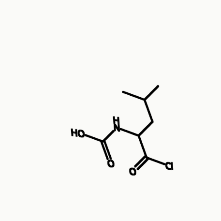 CC(C)CC(NC(=O)O)C(=O)Cl